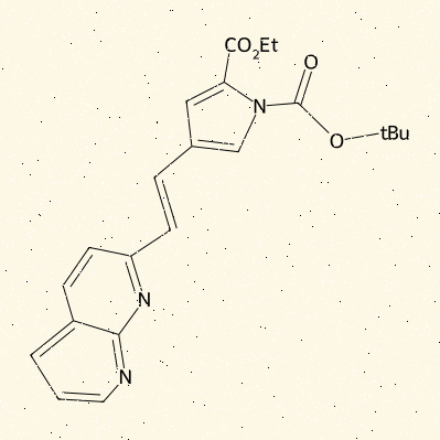 CCOC(=O)c1cc(/C=C/c2ccc3cccnc3n2)cn1C(=O)OC(C)(C)C